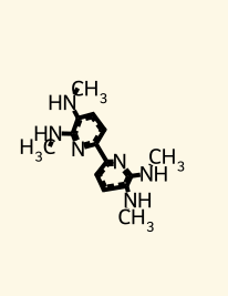 CNc1ccc(-c2ccc(NC)c(NC)n2)nc1NC